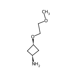 COCCO[C@H]1C[C@@H](N)C1